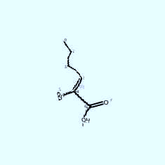 CCC/C=C(\Br)C(=O)O